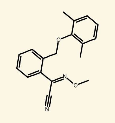 CON=C(C#N)c1ccccc1COc1c(C)cccc1C